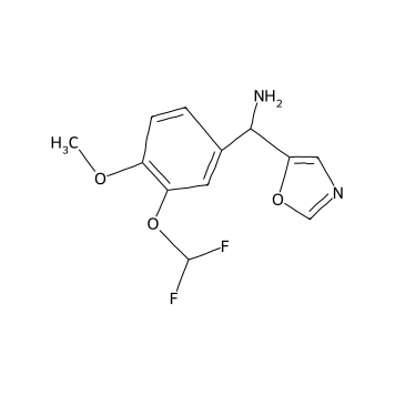 COc1ccc(C(N)c2cnco2)cc1OC(F)F